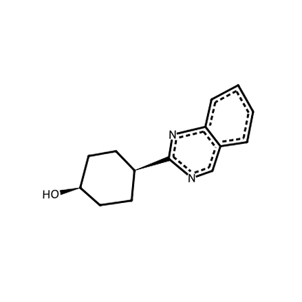 O[C@H]1CC[C@@H](c2ncc3ccccc3n2)CC1